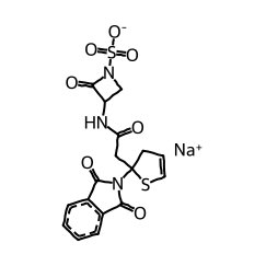 O=C(CC1(N2C(=O)c3ccccc3C2=O)CC=CS1)NC1CN(S(=O)(=O)[O-])C1=O.[Na+]